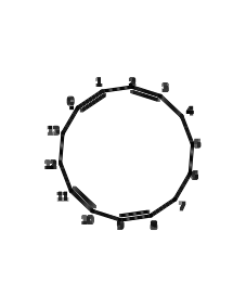 [C]1=CC=CCCCCC=CC=CCC1